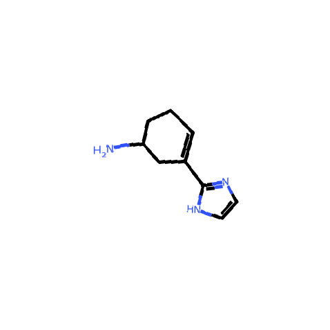 NC1CCC=C(c2ncc[nH]2)C1